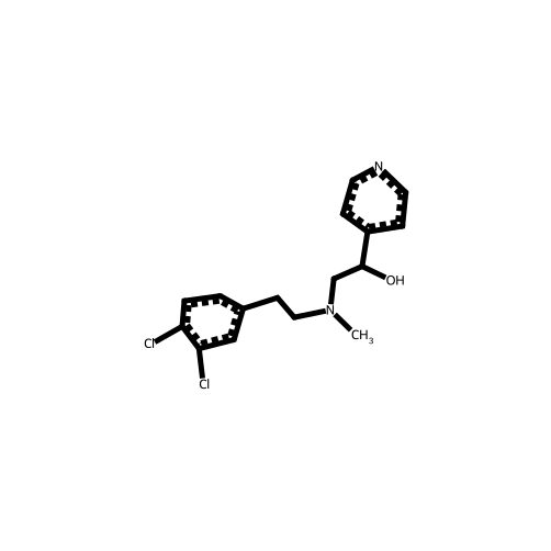 CN(CCc1ccc(Cl)c(Cl)c1)CC(O)c1ccncc1